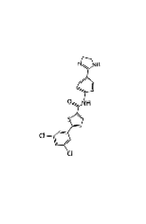 O=C(Nc1ccc(C2=NCCN2)cc1)c1ccc(-c2cc(Cl)cc(Cl)c2)s1